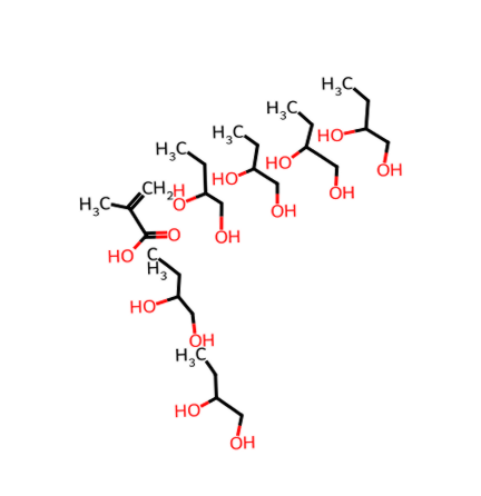 C=C(C)C(=O)O.CCC(O)CO.CCC(O)CO.CCC(O)CO.CCC(O)CO.CCC(O)CO.CCC(O)CO